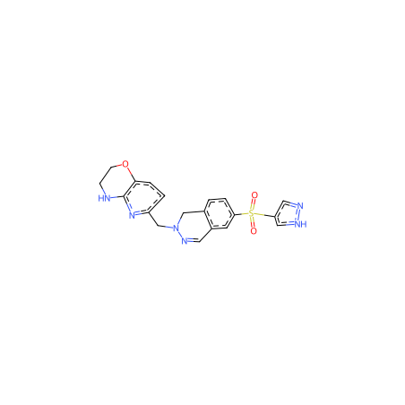 O=S(=O)(c1cn[nH]c1)c1ccc2c(c1)C=NN(Cc1ccc3c(n1)NCCO3)C2